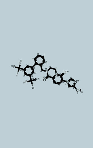 Cc1cn(-c2ccc3n(c2=O)CCN(Cc2ccccc2-c2cc(C(F)(F)F)cc(C(F)(F)F)c2)C3=O)cn1